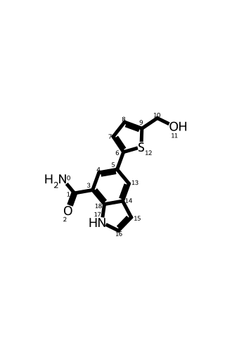 NC(=O)c1cc(-c2ccc(CO)s2)cc2cc[nH]c12